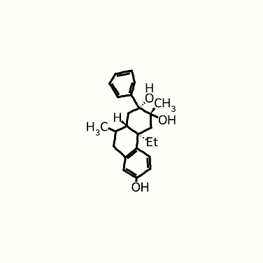 CC[C@@]12C[C@@](C)(O)[C@](O)(c3ccccc3)C[C@H]1C(C)Cc1cc(O)ccc12